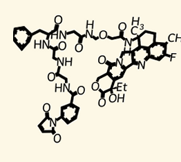 CC[C@@]1(O)C(=O)OCc2c1cc1n(c2=O)Cc2c-1nc1cc(F)c(C)c3c1c2[C@@](C)(NC(=O)COCNC(=O)CNC(=O)C(Cc1ccccc1)NC(=O)CNC(=O)CNC(=O)c1cccc(N2C(=O)C=CC2=O)c1)CC3